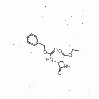 CCOC(=O)[C@@H]1NC(=O)[C@@H]1NC(=O)OCc1ccccc1